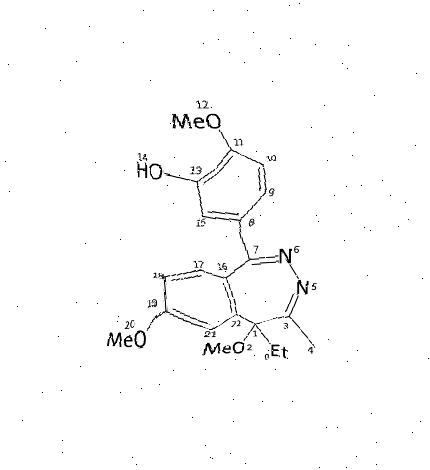 CCC1(OC)C(C)=NN=C(c2ccc(OC)c(O)c2)c2ccc(OC)cc21